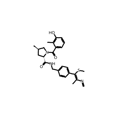 C=N/C(C)=C(\SC)c1ccc(CNC(=O)[C@@H]2C[C@@H](C)CN2C(=O)c2cccc(O)c2C)cc1